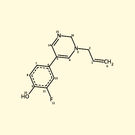 C=CCN1C=C(c2ccc(O)c(F)c2)C=NC1